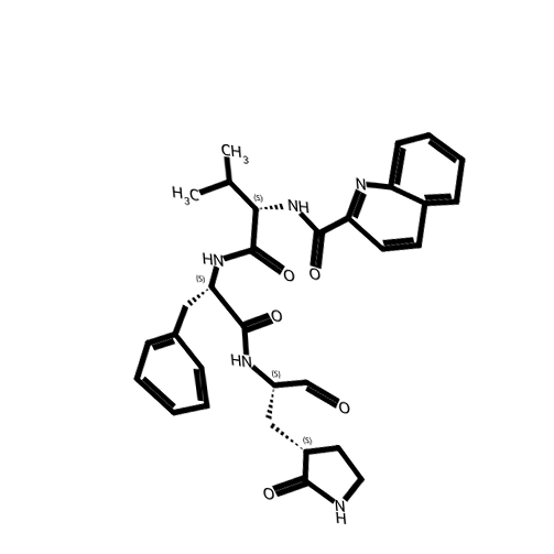 CC(C)[C@H](NC(=O)c1ccc2ccccc2n1)C(=O)N[C@@H](Cc1ccccc1)C(=O)N[C@H](C=O)C[C@@H]1CCNC1=O